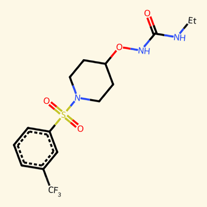 CCNC(=O)NOC1CCN(S(=O)(=O)c2cccc(C(F)(F)F)c2)CC1